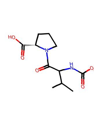 COC(=O)NC(C(=O)N1CCC[C@H]1C(=O)O)C(C)C